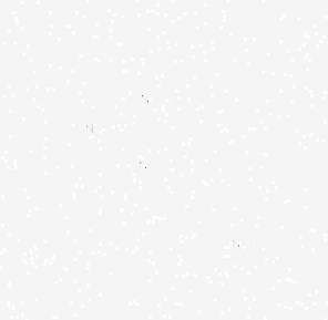 CN=C(N)Nc1cccc([N+](=O)[O-])c1